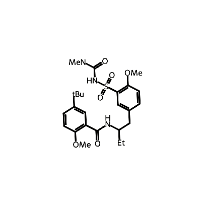 CCC(Cc1ccc(OC)c(S(=O)(=O)NC(=O)NC)c1)NC(=O)c1cc(C(C)(C)C)ccc1OC